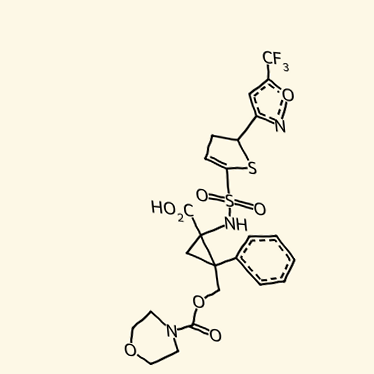 O=C(OCC1(c2ccccc2)CC1(NS(=O)(=O)C1=CCC(c2cc(C(F)(F)F)on2)S1)C(=O)O)N1CCOCC1